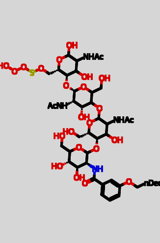 CCCCCCCCCCCOc1cccc(C(=O)N[C@@H]2C(O[C@H]3C(O)C(NC(C)=O)C(OC4C(CO)O[C@@H](O[C@H]5C(O)C(NC(C)=O)C(O)O[C@H]5COSOOO)[C@@H](NC(C)=O)[C@H]4O)O[C@H]3CO)OC(CO)[C@@H](O)[C@@H]2O)c1